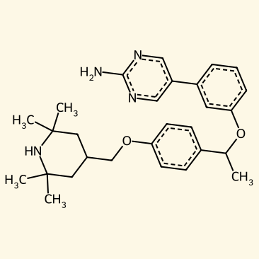 CC(Oc1cccc(-c2cnc(N)nc2)c1)c1ccc(OCC2CC(C)(C)NC(C)(C)C2)cc1